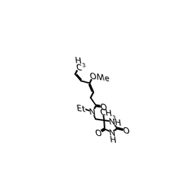 C/C=C\C(=C/CC(=O)N(CC)CC1(C)NC(=O)NC1=O)OC